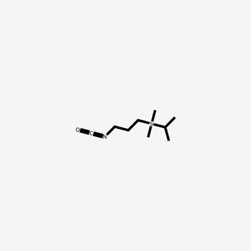 CC(C)[Si](C)(C)CCCN=C=O